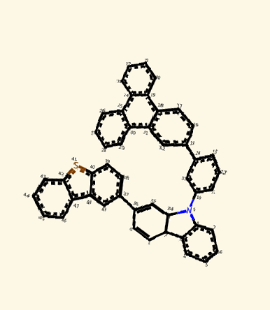 C1=CC2c3ccccc3N(c3cccc(-c4ccc5c6ccccc6c6ccccc6c5c4)c3)C2C=C1c1ccc2sc3ccccc3c2c1